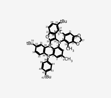 Cc1cc2c3c(c1)N(c1c(C)cc4c(c1C)OCO4)c1c(oc4ccc(C(C)(C)C)cc14)B3c1cc(C(C)(C)C)ccc1N2c1ccc(C(C)(C)C)cc1